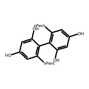 CCCCCc1cc(O)cc(O)c1-c1c(O)cc(O)cc1CCCCC